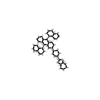 c1ccc2c(-c3c4ccccc4c(-c4cccc5ccccc45)c4cc(-c5ccc(-c6nc7ccccc7s6)cc5)ccc34)cccc2c1